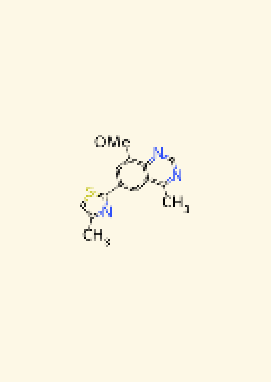 COc1cc(-c2nc(C)cs2)cc2c(C)ncnc12